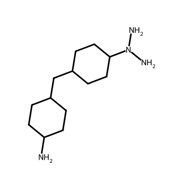 NC1CCC(CC2CCC(N(N)N)CC2)CC1